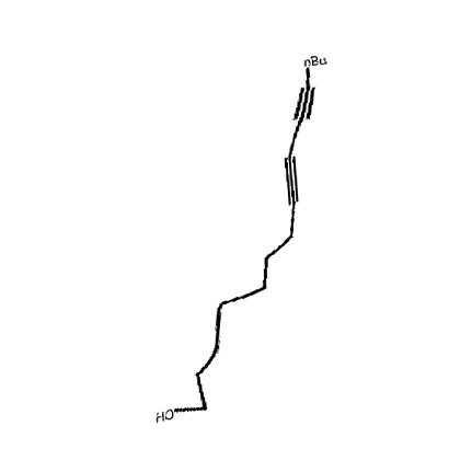 CCCCC#CC#CCCCCCCCO